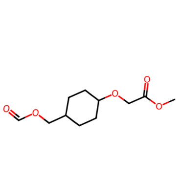 COC(=O)COC1CCC(COC=O)CC1